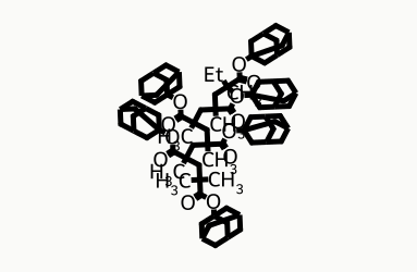 CCC(C)(CC(C)(CC(C)(CC(C)(CC(C)(CC(C)(C)C(=O)OC12CC3CC(CC(C3)C1)C2)C(=O)OC12CC3CC(CC(C3)C1)C2)C(=O)OC12CC3CC(CC(C3)C1)C2)C(=O)OC12CC3CC(CC(C3)C1)C2)C(=O)OC12CC3CC(CC(C3)C1)C2)C(=O)OC12CC3CC(CC(C3)C1)C2